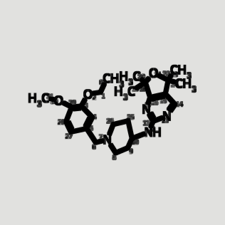 CCOc1cc(CN2CCC(Nc3ncc4c(n3)C(C)(C)OC4(C)C)CC2)ccc1OC